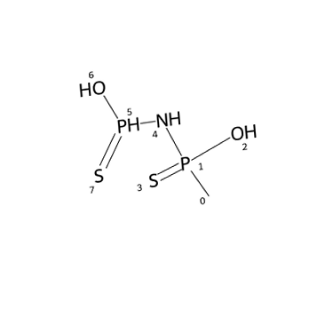 CP(O)(=S)N[PH](O)=S